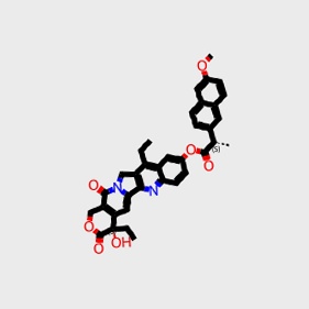 CCc1c2c(nc3ccc(OC(=O)[C@@H](C)c4ccc5cc(OC)ccc5c4)cc13)-c1cc3c(c(=O)n1C2)COC(=O)[C@]3(O)CC